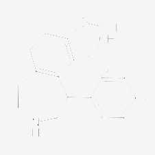 COc1ccc2c(c1)C(c1ccccc1SC)CNCC2